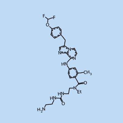 CCN(CCNC(=O)NCCN)C(=O)c1ccc(Nc2nccn3c(Cc4ccc(OC(F)F)cc4)cnc23)cc1C